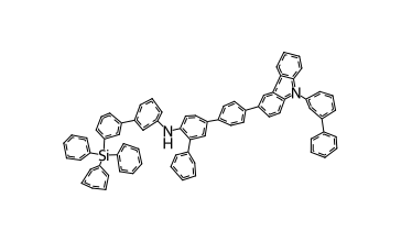 c1ccc(-c2cccc(-n3c4ccccc4c4cc(-c5ccc(-c6ccc(Nc7cccc(-c8cccc([Si](c9ccccc9)(c9ccccc9)c9ccccc9)c8)c7)c(-c7ccccc7)c6)cc5)ccc43)c2)cc1